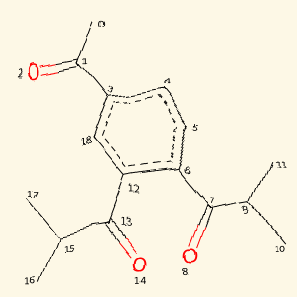 CC(=O)c1ccc(C(=O)C(C)C)c(C(=O)C(C)C)c1